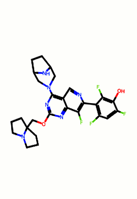 Oc1c(F)cc(F)c(-c2ncc3c(N4CC5CCC(C4)N5)nc(OCC45CCCN4CCC5)nc3c2F)c1F